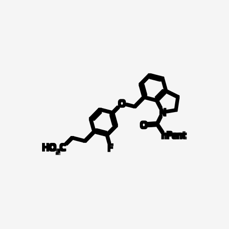 CCCCCC(=O)N1CCc2cccc(COc3ccc(CCC(=O)O)c(F)c3)c21